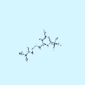 O=C(O)N1CC(COc2cc(C(F)(F)F)cc(Cl)n2)C1